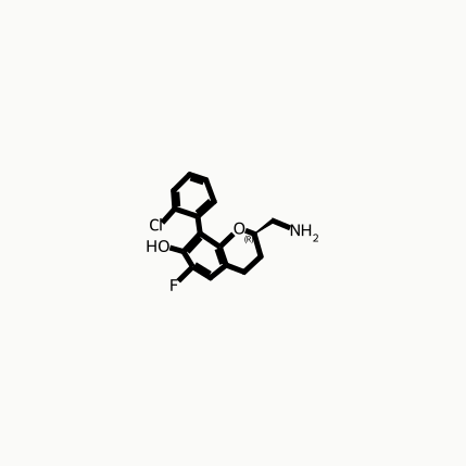 NC[C@H]1CCc2cc(F)c(O)c(-c3ccccc3Cl)c2O1